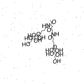 CC(=O)[C@@H](CCCCNC(=O)CCCCOC(O)C(O)[C@H](O)C(O)CCO)NC(=O)CCCCOC(O)C(O)C(O)C(O)CCO